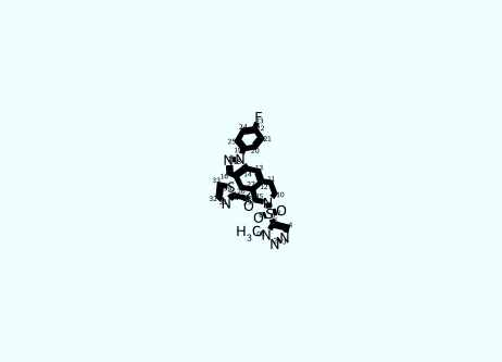 Cn1nncc1S(=O)(=O)N1CCC2=Cc3c(cnn3-c3ccc(F)cc3)C[C@]2(C(=O)c2nccs2)C1